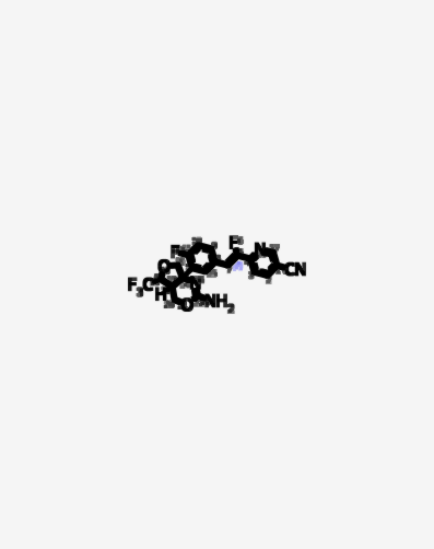 N#Cc1ccc(/C(F)=C/c2ccc(F)c([C@]34CO[C@H](C(F)(F)F)[C@H]3COC(N)=N4)c2)nc1